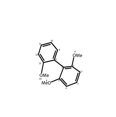 COc1[c]ccc(OC)c1-c1ccccc1OC